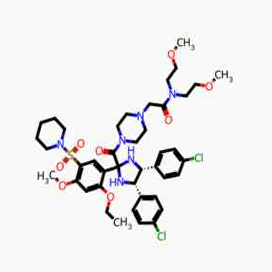 CCOc1cc(OC)c(S(=O)(=O)N2CCCCC2)cc1C1(C(=O)N2CCN(CC(=O)N(CCOC)CCOC)CC2)N[C@H](c2ccc(Cl)cc2)[C@H](c2ccc(Cl)cc2)N1